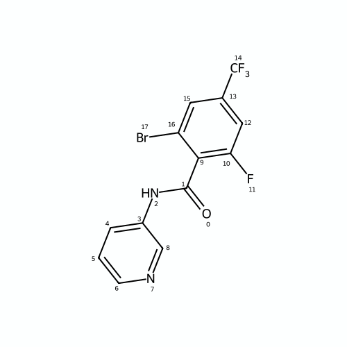 O=C(Nc1cccnc1)c1c(F)cc(C(F)(F)F)cc1Br